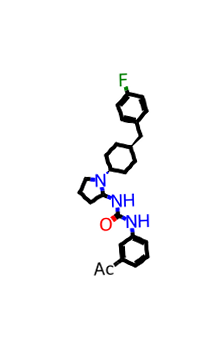 CC(=O)c1cccc(NC(=O)NC2CCCN2[C@H]2CC[C@H](Cc3ccc(F)cc3)CC2)c1